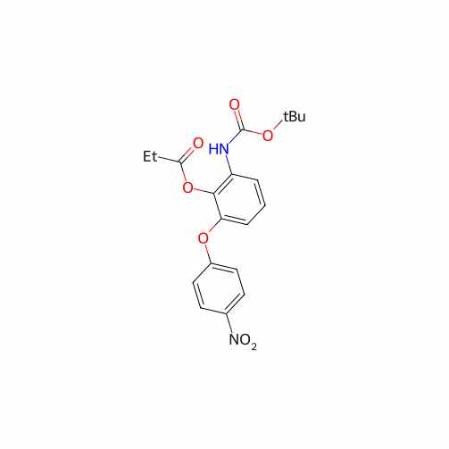 CCC(=O)Oc1c(NC(=O)OC(C)(C)C)cccc1Oc1ccc([N+](=O)[O-])cc1